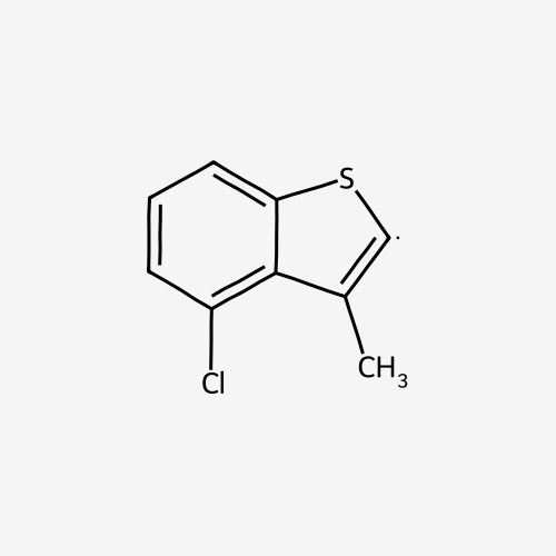 Cc1[c]sc2cccc(Cl)c12